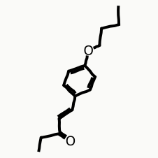 CCCCOc1ccc(/C=C/C(=O)CC)cc1